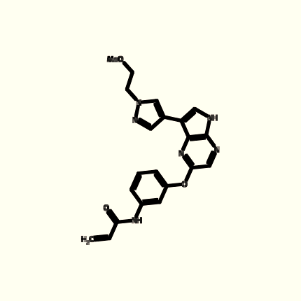 C=CC(=O)Nc1cccc(Oc2cnc3[nH]cc(-c4cnn(CCOC)c4)c3n2)c1